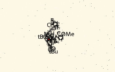 COc1cccc(CN(C(=O)C2=C(c3cnc(CCCOc4c(F)ccc(F)c4Cl)s3)CC3CN(C(=O)OC(C)(C)C)C[C@H]2N3C(=O)OC(C)(C)C)C2CC2)c1C